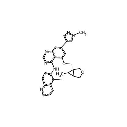 C[C@@H]1C2COC[C@@]21COc1cc(-c2cnn(C)c2)cc2ncnc(Nc3ccc4ncccc4c3F)c12